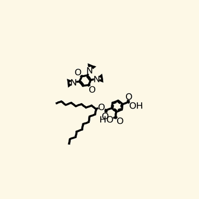 CCCCCCCCCC(CCCCCCCC)OC(=O)c1ccc(C(=O)O)cc1C(=O)O.O=C1C=C(N2CC2)C(=O)C(N2CC2)=C1N1CC1